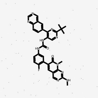 CNc1ncc2cc(-c3cc(NC(=O)Nc4cnc(C(C)(C)C)nc4-c4ccc5ncncc5c4)ccc3F)c(=O)n(C)c2n1